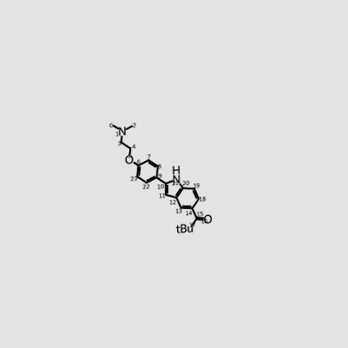 CN(C)CCOc1ccc(-c2cc3cc(C(=O)C(C)(C)C)ccc3[nH]2)cc1